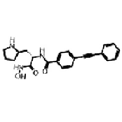 O=C(N[C@@H](CC1CCCN1)C(=O)NO)c1ccc(C#Cc2ccccc2)cc1